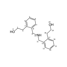 OCCc1ccccc1CNCc1ccccc1CCO